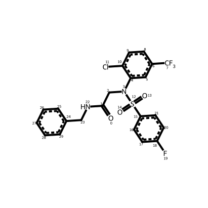 O=C(CN(c1cc(C(F)(F)F)ccc1Cl)S(=O)(=O)c1ccc(F)cc1)NCc1ccccc1